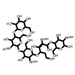 CC(=O)N/C(=C(\O)C(CCO)OC1OC(CO)C(OC2OC(CO)C(OC3OC(CO)C(O)C(O)C3N)C(O)C2NC(C)=O)C(O)C1NC(C)=O)C(O)OC1C(CO)OC(O)C(NC(C)=O)C1O